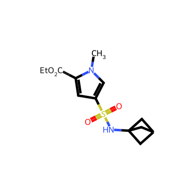 CCOC(=O)c1cc(S(=O)(=O)NC23CC(C2)C3)cn1C